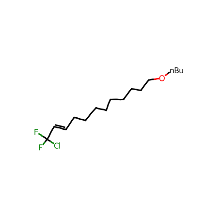 CCCCOCCCCCCCCCC=CC(F)(F)Cl